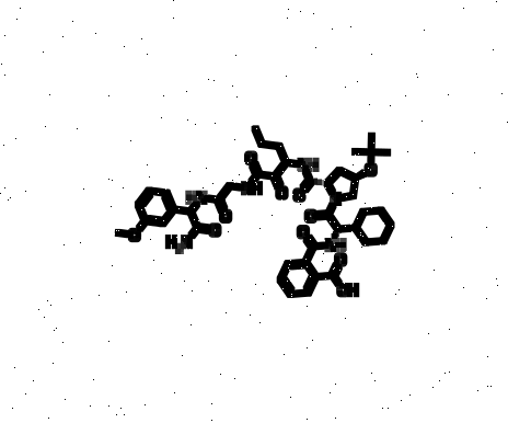 CCCC(NC(=O)[C@@H]1C[C@@H](OC(C)(C)C)CN1C(=O)[C@@H](NC(=O)c1ccccc1C(=O)O)C1CCCCC1)C(=O)C(=O)NCC(=O)NC(C(N)=O)c1cccc(OC)c1